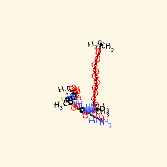 CC[C@@]1(O)C(=O)OCc2c1cc1n(c2=O)Cc2c-1nc1cc(F)c(C)c3c1c2[C@@H](NC(=O)OCc1ccc(NC(=O)[C@H](CCCCNC(N)=O)NC(=O)[C@@H](NC(=O)CCOCCOCCOCCOCCOCCOCCOCCOCCOCCC(C)C)C(C)C)cc1)CC3